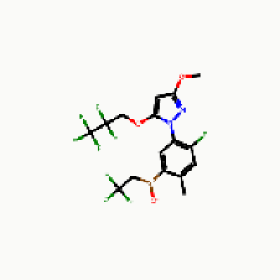 COc1cc(OCC(F)(F)C(F)(F)F)n(-c2cc([S+]([O-])CC(F)(F)F)c(C)cc2F)n1